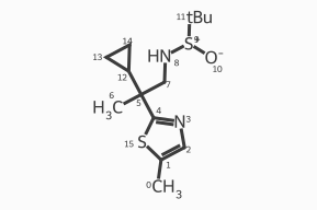 Cc1cnc(C(C)(CN[S+]([O-])C(C)(C)C)C2CC2)s1